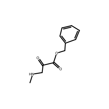 CNCC(=O)C(=O)OCc1ccccc1